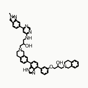 Cn1cc2ccc(-c3cc(NCC(O)CN4CCc5ccc(-c6ccc(-c7cccc(OCC(O)CN8CCc9ccccc9C8)c7)c7nc[nH]c67)cc5C4)ncn3)cc2n1